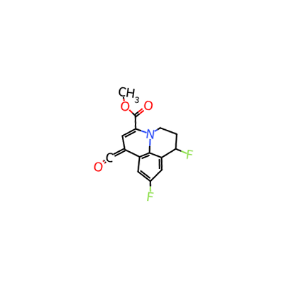 COC(=O)C1=CC(=C=O)c2cc(F)cc3c2N1CCC3F